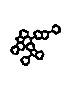 c1ccc(-c2ccc3cc(N(c4ccc5c(c4)c4ccccc4n5-c4ccccc4)c4cccc5oc6c7ccccc7ccc6c45)ccc3c2)cc1